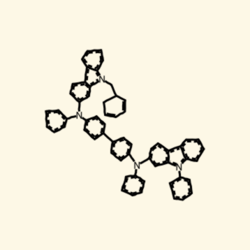 C1=CCC(Cn2c3ccccc3c3ccc(N(c4ccccc4)c4ccc(-c5ccc(N(c6ccccc6)c6ccc7c8ccccc8n(-c8ccccc8)c7c6)cc5)cc4)cc32)C=C1